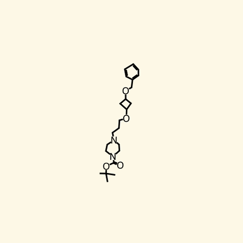 CC(C)(C)OC(=O)N1CCN(CCCOC2CC(OCc3ccccc3)C2)CC1